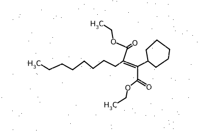 CCCCCCCCC(C(=O)OCC)=C(C(=O)OCC)C1CCCCC1